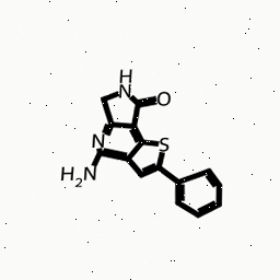 Nc1nc2c(c3sc(-c4ccccc4)cc13)C(=O)NC2